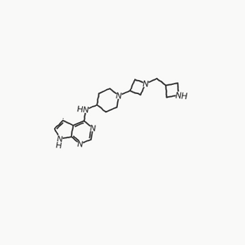 [c]1c[nH]c2ncnc(NC3CCN(C4CN(CC5CNC5)C4)CC3)c12